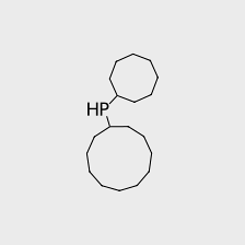 C1CCCCCC(PC2CCCCCCC2)CCCC1